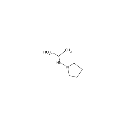 CC(NN1CCCC1)C(=O)O